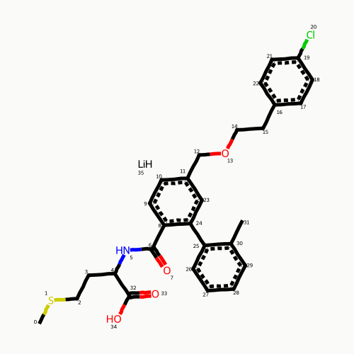 CSCCC(NC(=O)c1ccc(COCCc2ccc(Cl)cc2)cc1-c1ccccc1C)C(=O)O.[LiH]